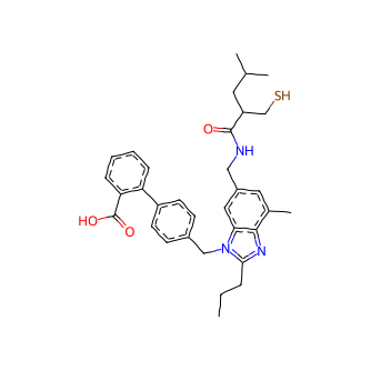 CCCc1nc2c(C)cc(CNC(=O)C(CS)CC(C)C)cc2n1Cc1ccc(-c2ccccc2C(=O)O)cc1